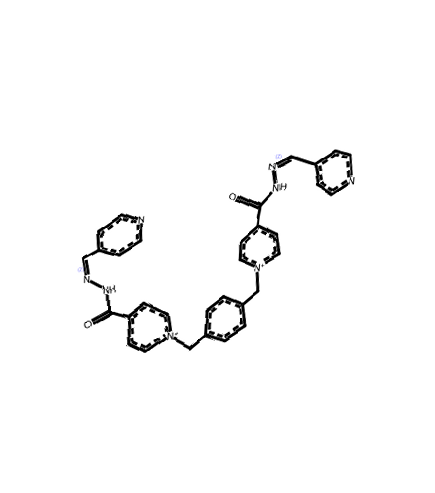 O=C(N/N=C\c1ccncc1)c1cc[n+](Cc2ccc(C[n+]3ccc(C(=O)N/N=C\c4ccncc4)cc3)cc2)cc1